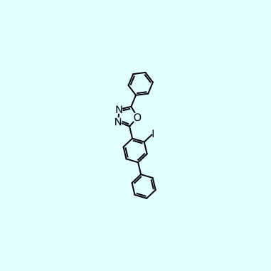 Ic1cc(-c2ccccc2)ccc1-c1nnc(-c2ccccc2)o1